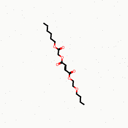 CCCCCCOC(=O)COC(=O)/C=C/C(=O)OCCOCCCC